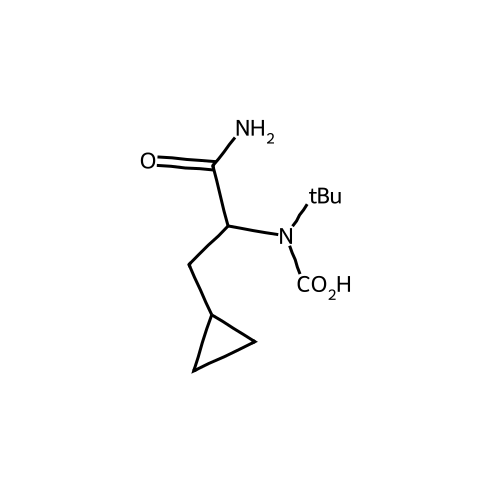 CC(C)(C)N(C(=O)O)C(CC1CC1)C(N)=O